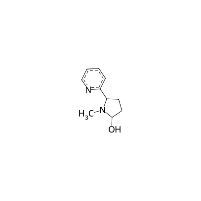 CN1C(O)CCC1c1ccccn1